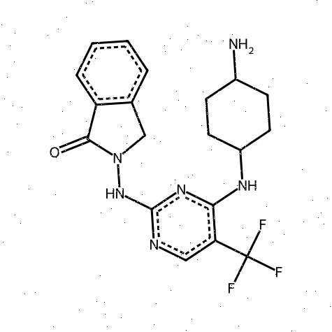 NC1CCC(Nc2nc(NN3Cc4ccccc4C3=O)ncc2C(F)(F)F)CC1